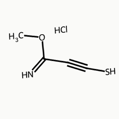 COC(=N)C#CS.Cl